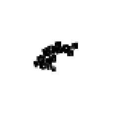 COc1cc(NC(=O)N2CCn3nc(-c4ccc(F)c(Cl)c4)c(C(N)=O)c3C2)ccc1C#N